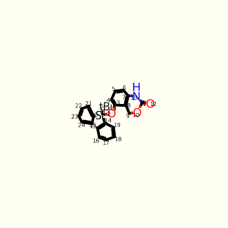 CC(C)(C)[Si](Oc1cccc2c1COC(=O)N2)(c1ccccc1)c1ccccc1